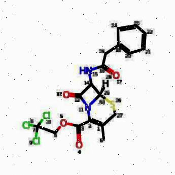 CC1=C(C(=O)OCC(Cl)(Cl)Cl)N2C(=O)C(NC(=O)Cc3ccccc3)[C@@H]2SC1